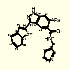 O=C(NCc1cccnc1)c1cc2c(-c3cc4ccccc4s3)n[nH]c2cc1F